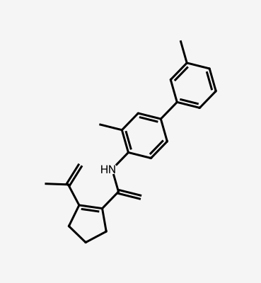 C=C(C)C1=C(C(=C)Nc2ccc(-c3cccc(C)c3)cc2C)CCC1